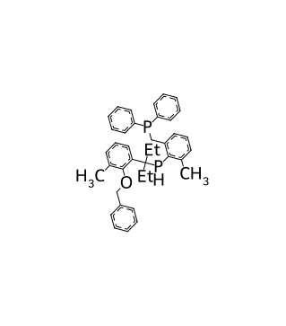 CCC(CC)(Pc1c(C)cccc1CP(c1ccccc1)c1ccccc1)c1cccc(C)c1OCc1ccccc1